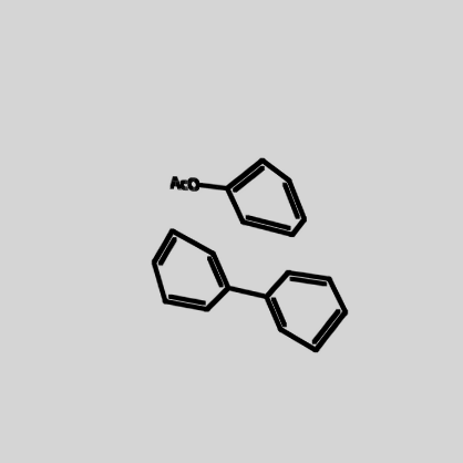 CC(=O)Oc1ccccc1.c1ccc(-c2ccccc2)cc1